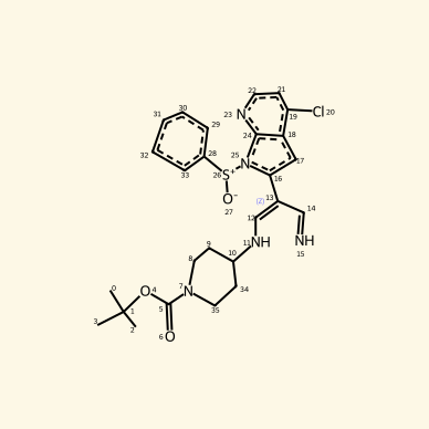 CC(C)(C)OC(=O)N1CCC(N/C=C(\C=N)c2cc3c(Cl)ccnc3n2[S+]([O-])c2ccccc2)CC1